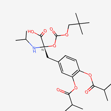 CC(C)N[C@@](Cc1ccc(OC(=O)C(C)C)c(OC(=O)C(C)C)c1)(OC(=O)OCC(C)(C)C)C(=O)O